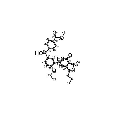 CCCc1nn(C)c2c(=O)[nH]c(-c3cc(C(O)c4ccc(C(=O)OC)cc4)ccc3OCC)nc12